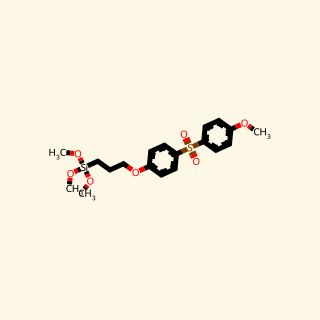 COc1ccc(S(=O)(=O)c2ccc(OCCC[Si](OC)(OC)OC)cc2)cc1